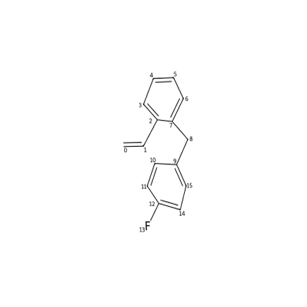 C=Cc1ccccc1Cc1ccc(F)cc1